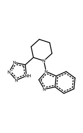 c1ccc2c(c1)ncn2N1CCCCC1c1nnn[nH]1